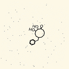 O=C1CCCCC(Cc2ccccc2)CCC(O)C1O